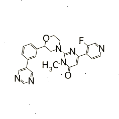 Cn1c(N2CCOC(c3cccc(-c4cncnc4)c3)C2)nc(-c2ccncc2F)cc1=O